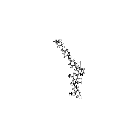 Cc1c(NC(=O)N2C[C@@H](CC(C)C)[C@@H](O)C2)cc(F)cc1-c1ncnc2[nH]c(-c3ccc(COC4CCN(CCC5CCNCC5)CC4)cc3)cc12